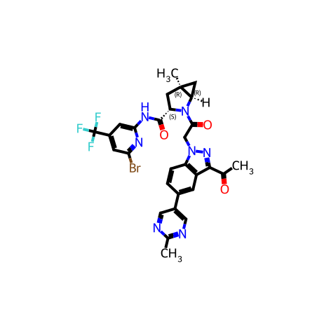 CC(=O)c1nn(CC(=O)N2[C@H](C(=O)Nc3cc(C(F)(F)F)cc(Br)n3)C[C@@]3(C)C[C@@H]23)c2ccc(-c3cnc(C)nc3)cc12